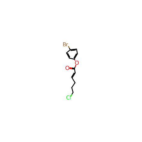 O=C(/C=C/CCCCl)Oc1ccc(Br)cc1